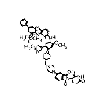 COc1cc(N2CCC(CN3CCN(c4ccc5c(c4)C(=O)N(C4CCC(=O)NC4=O)C5=O)CC3)CC2)c(-c2cnn(C)c2)cc1Nc1ncc(Cl)c(Nc2ccc(-c3ccccc3)cc2P(C)(C)=O)n1